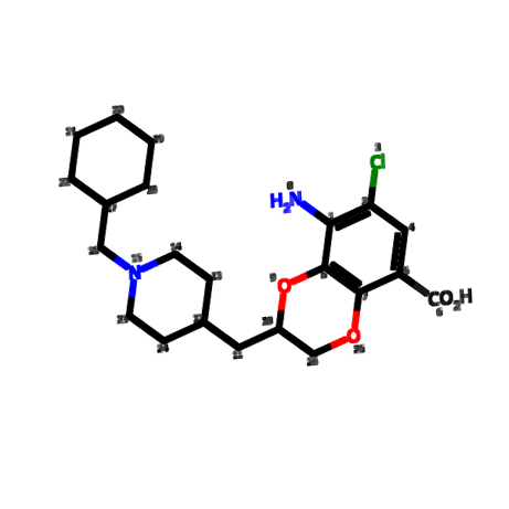 Nc1c(Cl)cc(C(=O)O)c2c1OC(CC1CCN(CC3CCCCC3)CC1)CO2